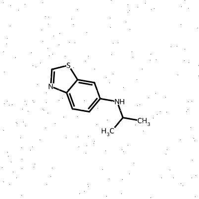 CC(C)Nc1ccc2ncsc2c1